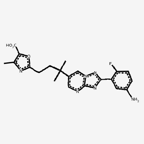 Cc1nc(CCC(C)(C)c2cnc3nc(-c4cc(N)ccc4F)nn3c2)oc1C(=O)O